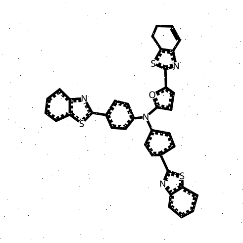 C1=Cc2nc(-c3ccc(N(c4ccc(-c5nc6ccccc6s5)cc4)c4ccc(-c5nc6ccccc6s5)cc4)o3)sc2CC1